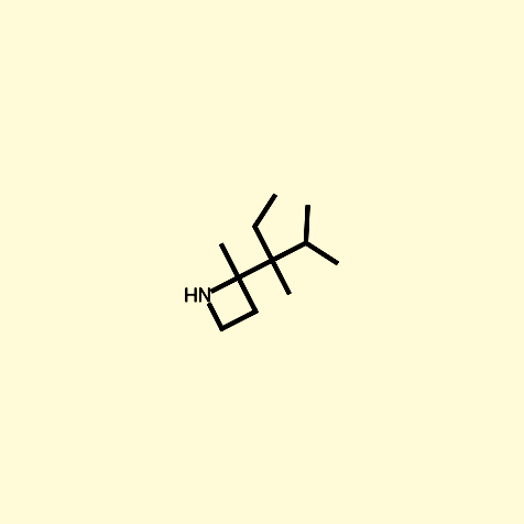 CCC(C)(C(C)C)C1(C)CCN1